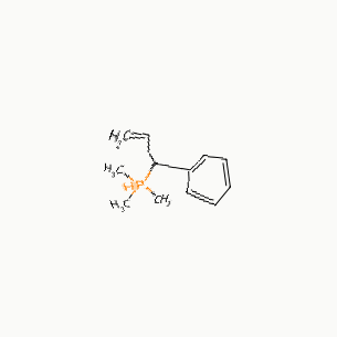 C=CC(c1ccccc1)[PH](C)(C)C